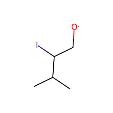 CC(C)C(I)C[O]